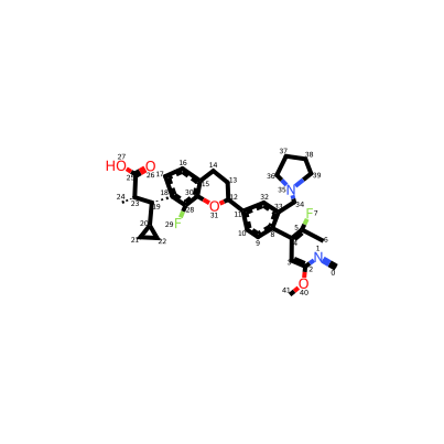 C=N/C(=C\C(=C(/C)F)c1ccc(C2CCc3ccc([C@H](C4CC4)[C@H](C)C(=O)O)c(F)c3O2)cc1CN1CCCC1)OC